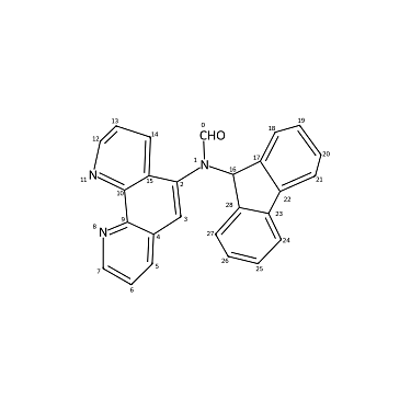 O=CN(c1cc2cccnc2c2ncccc12)C1c2ccccc2-c2ccccc21